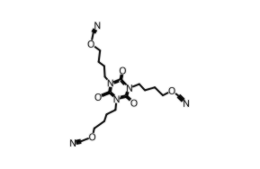 N#COCCCCn1c(=O)n(CCCCOC#N)c(=O)n(CCCCOC#N)c1=O